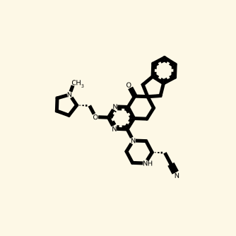 CN1CCC[C@H]1COc1nc2c(c(N3CCN[C@@H](CC#N)C3)n1)CCC1(Cc3ccccc3C1)C2=O